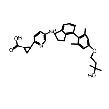 Cc1cc(OCCC(C)(C)O)cc(C)c1-c1cccc2c1CC[C@H]2Nc1ccc(C2C[C@H]2C(=O)O)nc1